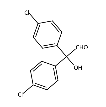 O=CC(O)(c1ccc(Cl)cc1)c1ccc(Cl)cc1